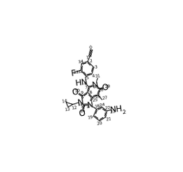 C#Cc1ccc(Nc2c3c(=O)n(C4CC4)c(=O)n(-c4cccc(N)c4)c3c(C)c(=O)n2C)c(F)c1